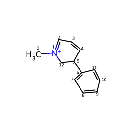 C[N+]1=CC=C[C](c2ccccc2)C1